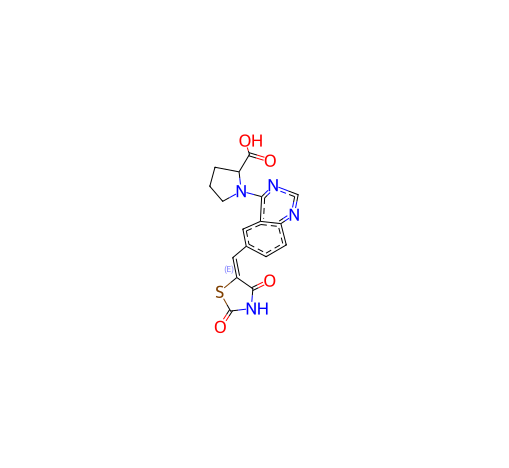 O=C1NC(=O)/C(=C\c2ccc3ncnc(N4CCCC4C(=O)O)c3c2)S1